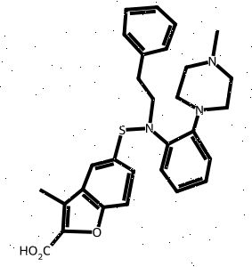 Cc1c(C(=O)O)oc2ccc(SN(CCc3ccccc3)c3ccccc3N3CCN(C)CC3)cc12